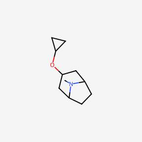 CN1C2CCC1CC(OC1CC1)C2